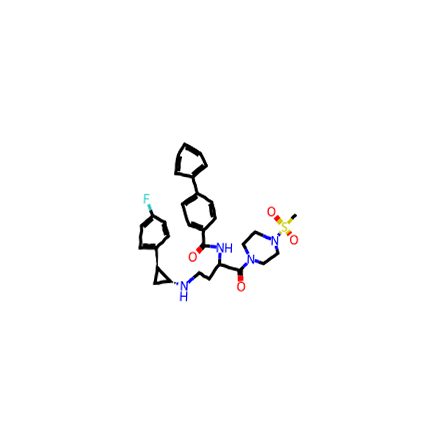 CS(=O)(=O)N1CCN(C(=O)C(CCN[C@@H]2C[C@H]2c2ccc(F)cc2)NC(=O)c2ccc(-c3ccccc3)cc2)CC1